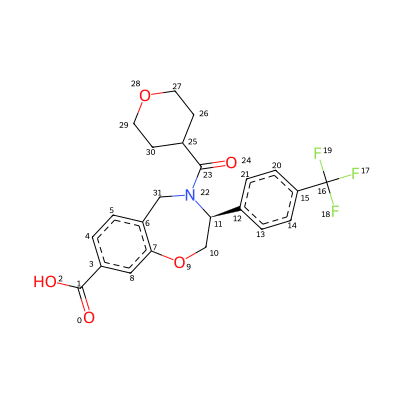 O=C(O)c1ccc2c(c1)OC[C@H](c1ccc(C(F)(F)F)cc1)N(C(=O)C1CCOCC1)C2